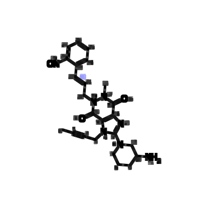 CC#CCn1c(N2CCCC(N)C2)nc2c(=O)n(C)n(C/C=C/c3ccccc3N=O)c(=O)c21